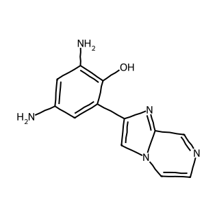 Nc1cc(N)c(O)c(-c2cn3ccncc3n2)c1